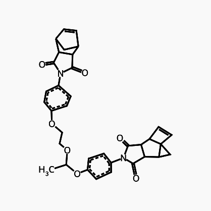 CC(OCCOc1ccc(N2C(=O)C3C4C=CC(C4)C3C2=O)cc1)Oc1ccc(N2C(=O)C3C(C2=O)C2CC24C=CC34)cc1